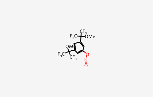 COC(c1cc(OB=O)cc(C(OC)(C(F)(F)F)C(F)(F)F)c1)(C(F)(F)F)C(F)(F)F